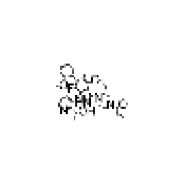 C=CC(=O)N1CCN2C(=N)c3c(Nc4c(C)ccnc4C(C)O)c(F)c(-c4ccccc4OC)c(C)c3OCCC2C1